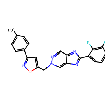 Cc1ccc(-c2cc(Cn3cc4nc(-c5cccc(F)c5F)nc-4cn3)on2)cc1